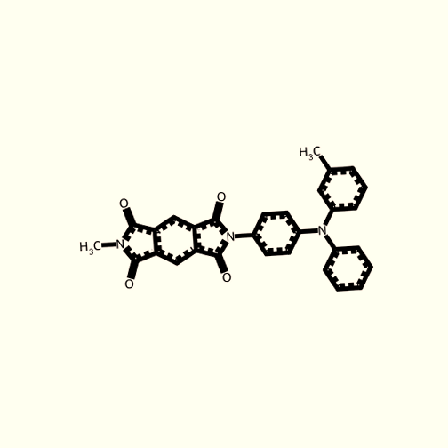 Cc1cccc(N(c2ccccc2)c2ccc(-n3c(=O)c4cc5c(=O)n(C)c(=O)c5cc4c3=O)cc2)c1